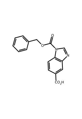 O=C(O)c1ccc2c(c1)ncn2C(=O)OCc1ccccc1